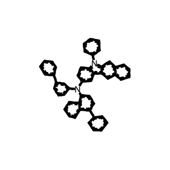 c1ccc(-c2cccc(N(c3ccc4c(c3)c3cc5ccccc5cc3n4-c3ccccc3)c3ccc(-c4ccccc4)c4ccccc34)c2)cc1